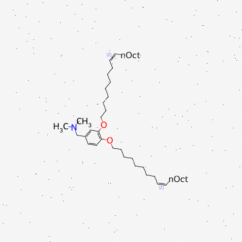 CCCCCCCC/C=C\CCCCCCCCOc1ccc(CN(C)C)cc1OCCCCCCCC/C=C\CCCCCCCC